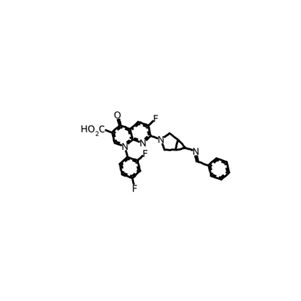 O=C(O)c1cn(-c2ccc(F)cc2F)c2nc(N3CC4C(C3)C4N=Cc3ccccc3)c(F)cc2c1=O